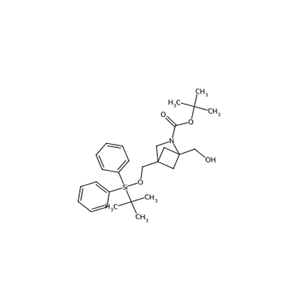 CC(C)(C)OC(=O)N1CC2(CO[Si](c3ccccc3)(c3ccccc3)C(C)(C)C)CC1(CO)C2